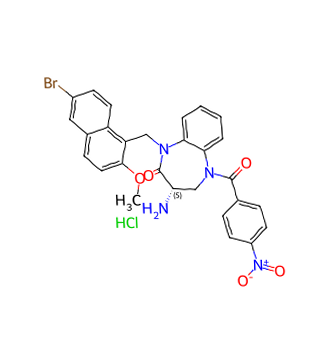 COc1ccc2cc(Br)ccc2c1CN1C(=O)[C@@H](N)CN(C(=O)c2ccc([N+](=O)[O-])cc2)c2ccccc21.Cl